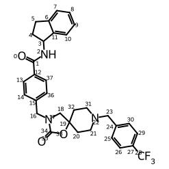 O=C(NC1CCc2ccccc21)c1ccc(CN2CC3(CCN(Cc4ccc(C(F)(F)F)cc4)CC3)OC2=O)cc1